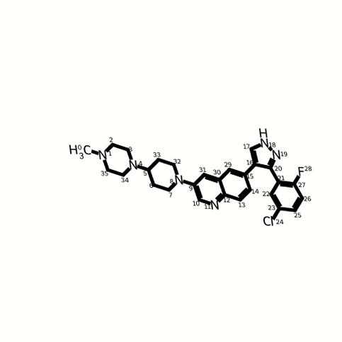 CN1CCN(C2CCN(c3cnc4ccc(-c5c[nH]nc5-c5cc(Cl)ccc5F)cc4c3)CC2)CC1